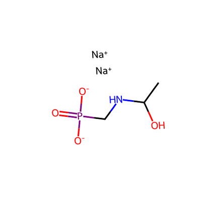 CC(O)NCP(=O)([O-])[O-].[Na+].[Na+]